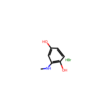 Br.CNc1cc(O)ccc1O